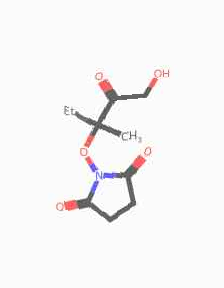 CCC(C)(ON1C(=O)CCC1=O)C(=O)CO